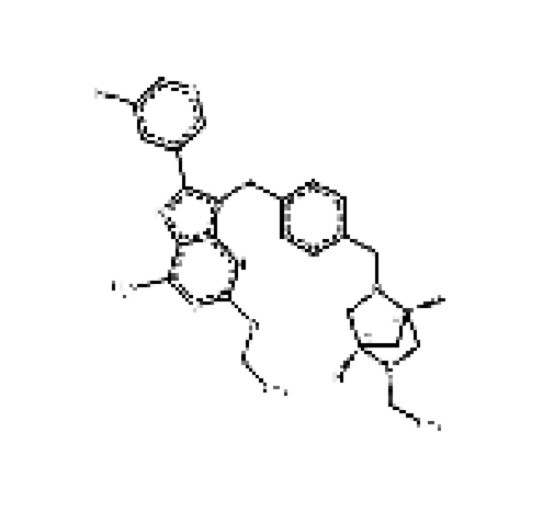 CCOc1nc(N)c2nc(-c3cncc(F)c3)n(Cc3ccc(CN4C[C@@H]5C[C@H]4CN5CC)cc3)c2n1